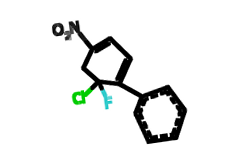 O=[N+]([O-])C1=CC=C(c2ccccc2)C(F)(Cl)C1